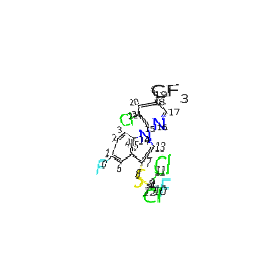 Fc1ccc2c(c1)c(SC(F)(Cl)Cl)cn2-c1ncc(C(F)(F)F)cc1Cl